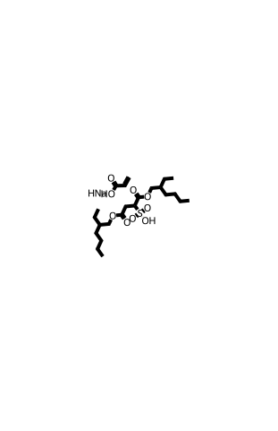 C=CC(=O)O.CCCCC(CC)COC(=O)CC(C(=O)OCC(CC)CCCC)S(=O)(=O)O.[NaH]